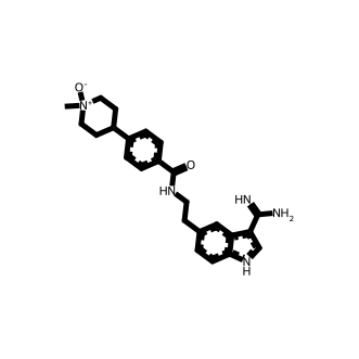 C[N+]1([O-])CCC(c2ccc(C(=O)NCCc3ccc4[nH]cc(C(=N)N)c4c3)cc2)CC1